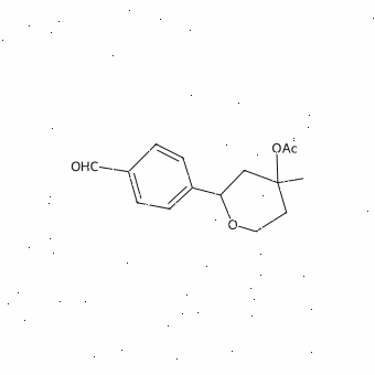 CC(=O)OC1(C)CCOC(c2ccc(C=O)cc2)C1